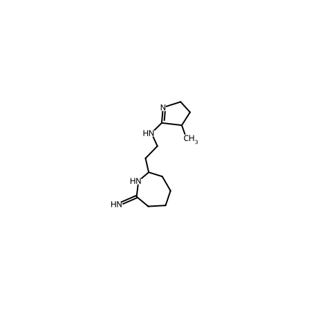 CC1CCN=C1NCCC1CCCCC(=N)N1